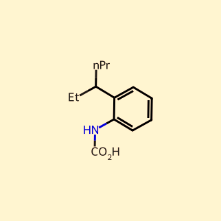 CCCC(CC)c1ccccc1NC(=O)O